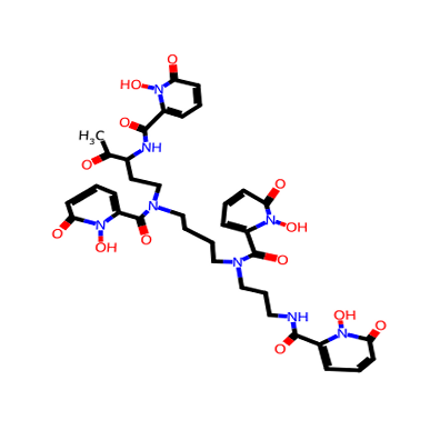 CC(=O)C(CCN(CCCCN(CCCNC(=O)c1cccc(=O)n1O)C(=O)c1cccc(=O)n1O)C(=O)c1cccc(=O)n1O)NC(=O)c1cccc(=O)n1O